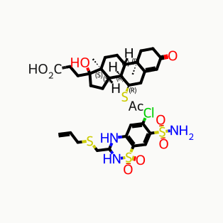 C=CCSCC1Nc2cc(Cl)c(S(N)(=O)=O)cc2S(=O)(=O)N1.CC(=O)S[C@@H]1CC2=CC(=O)CC[C@]2(C)[C@H]2CC[C@@]3(C)[C@@H](CCC3(O)CCC(=O)O)[C@H]12